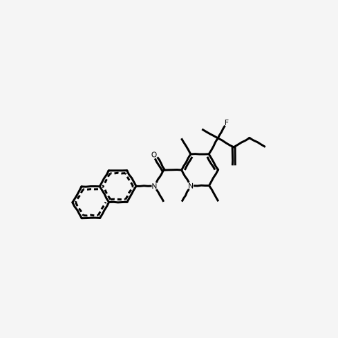 C=C(CC)C(C)(F)C1=CC(C)N(C)C(C(=O)N(C)c2ccc3ccccc3c2)=C1C